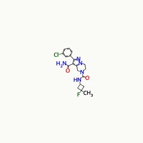 CC1(F)CC(NC(=O)N2CCn3nc(-c4cccc(Cl)c4)c(C(N)=O)c3C2)C1